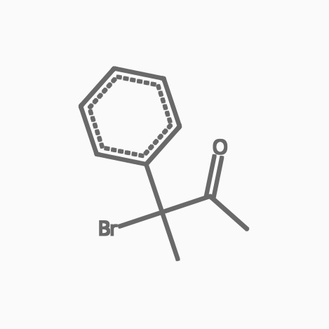 CC(=O)C(C)(Br)c1ccccc1